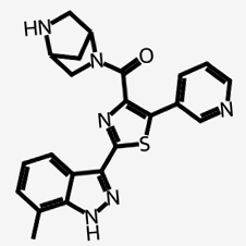 Cc1cccc2c(-c3nc(C(=O)N4CC5CC4CN5)c(-c4cccnc4)s3)n[nH]c12